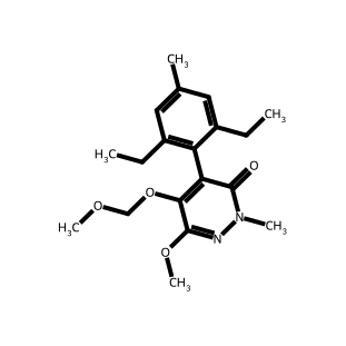 CCc1cc(C)cc(CC)c1-c1c(OCOC)c(OC)nn(C)c1=O